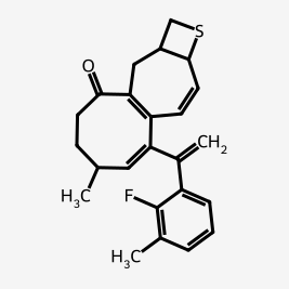 C=C(/C1=C/C(C)CCC(=O)C2=C1C=CC1SCC1C2)c1cccc(C)c1F